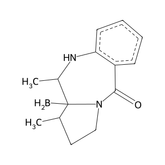 BC12C(C)CCN1C(=O)c1ccccc1NC2C